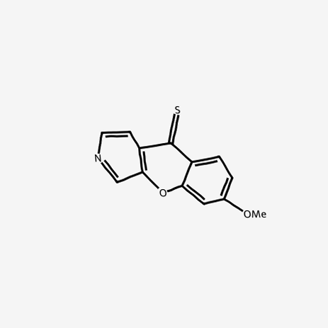 COc1ccc2c(=S)c3ccncc3oc2c1